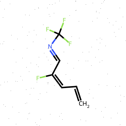 C=C/C=C(/F)C=NC(F)(F)F